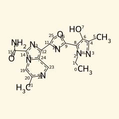 CCn1nc(C)c(O)c1-c1nc(-c2nc(C(N)=O)n3cc(C)ncc23)co1